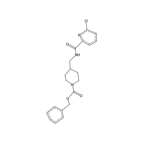 O=C(NCC1CCN(C(=O)OCc2ccccc2)CC1)c1cccc(Cl)n1